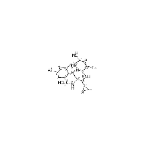 CC(=O)c1cccc(Nc2nc(N[C@@H](C3CC3)[C@H](C)NC(=O)O)c(F)cc2C#N)c1